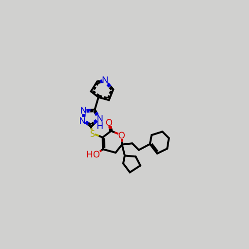 O=C1OC(CCC2=CCCCC2)(C2CCCC2)CC(O)=C1Sc1nnc(-c2ccncc2)[nH]1